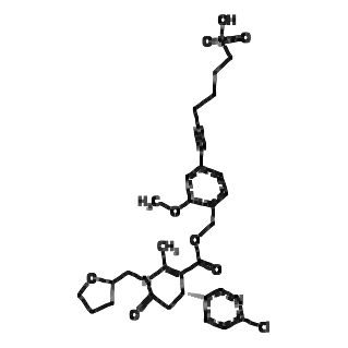 COc1cc(C#CCCCCS(=O)(=O)O)ccc1COC(=O)C1=C(C)N(CC2CCCO2)C(=O)C[C@H]1c1ccc(Cl)nc1